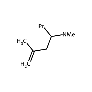 C=C(C)CC(NC)C(C)C